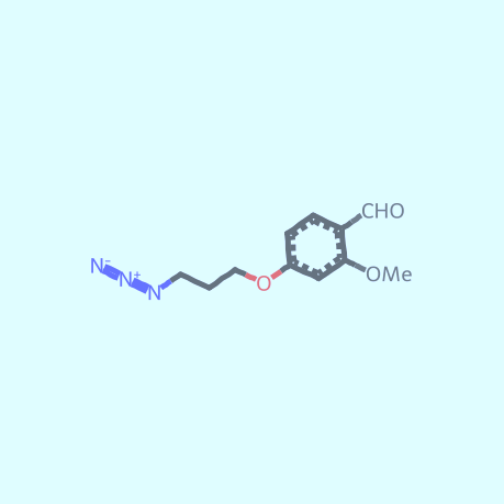 COc1cc(OCCCN=[N+]=[N-])ccc1C=O